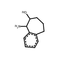 NC1c2ccccc2CCCC1O